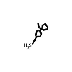 C=CC1(c2ccc(C#C[SiH3])cc2)C=CC=CC1